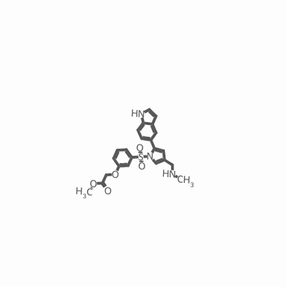 CNCc1cc(-c2ccc3[nH]ccc3c2)n(S(=O)(=O)c2cccc(OCC(=O)OC)c2)c1